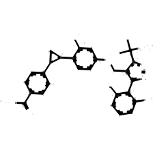 COC(=O)c1ccc(C2CC2c2ccc(OCc3c(-c4c(Cl)cccc4Cl)noc3C(C)(C)OC)cc2Cl)cc1